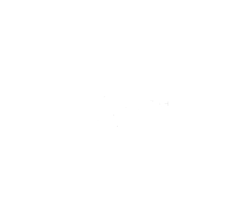 COc1cccc(C2C=CC=CC2)c1